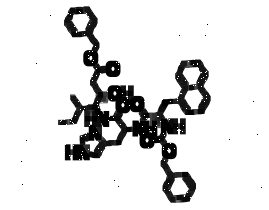 CCC(C)[C@H](NC(=O)C(Cc1c[nH]cn1)NC(=O)[C@@H](Cc1cccc2ccccc12)NC(=O)OCc1ccccc1)[C@@H](O)CC(=O)OCc1ccccc1